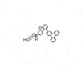 CC(C)(O)C(C)(C)OBC1=CC=C2c3c(cccc3-c3ccc4c5ccccc5c5ccccc5c4c3)OC2C1